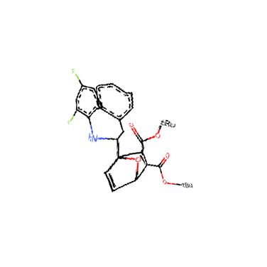 CC(C)(C)OC(=O)C1=C(C(=O)OC(C)(C)C)C2(C(Cc3ccccc3)Nc3ccc(F)cc3F)C=CC1O2